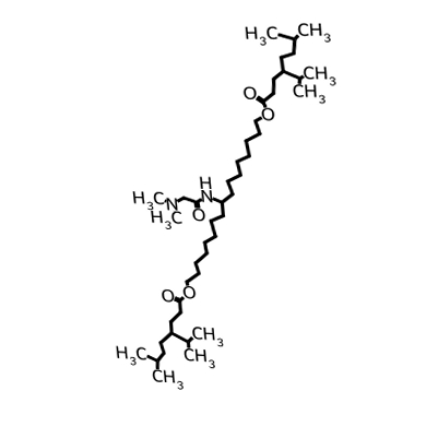 CC(C)CCC(CCC(=O)OCCCCCCCCC(CCCCCCCCOC(=O)CCC(CCC(C)C)C(C)C)NC(=O)CN(C)C)C(C)C